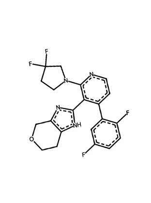 Fc1ccc(F)c(-c2ccnc(N3CCC(F)(F)C3)c2-c2nc3c([nH]2)CCOC3)c1